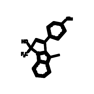 Cc1c2n(c3ccccc13)C(O)(C(F)(F)F)C=C2c1ccc(C(C)(C)C)cc1